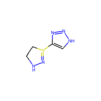 c1[nH]nnc1S1=NNCC1